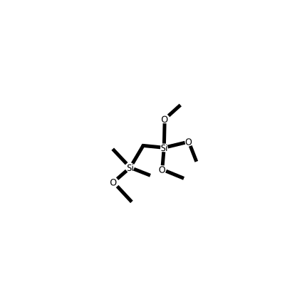 CO[Si](C)(C)C[Si](OC)(OC)OC